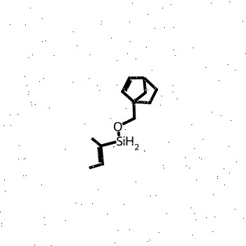 C/C=C(\C)[SiH2]OCC12C=CC(CC1)C2